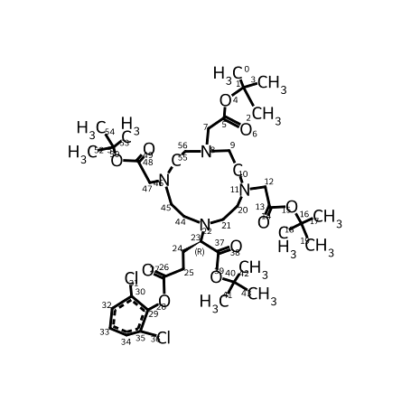 CC(C)(C)OC(=O)CN1CCN(CC(=O)OC(C)(C)C)CCN([C@H](CCC(=O)Oc2c(Cl)cccc2Cl)C(=O)OC(C)(C)C)CCN(CC(=O)OC(C)(C)C)CC1